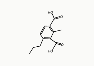 CCCc1ccc(C(=O)O)c(C)c1C(=O)O